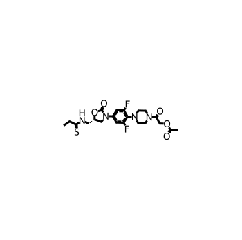 CCC(=S)NC[C@H]1CN(c2cc(F)c(N3CCN(C(=O)COC(C)=O)CC3)c(F)c2)C(=O)O1